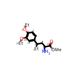 CCOc1ccc(C(CC)CC(N)C(=O)OC)cc1OCC